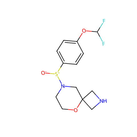 [O-][S+](c1ccc(OC(F)F)cc1)N1CCOC2(CNC2)C1